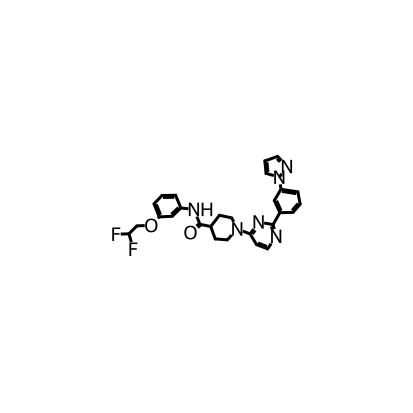 O=C(Nc1cccc(OCC(F)F)c1)C1CCN(c2ccnc(-c3cccc(-n4cccn4)c3)n2)CC1